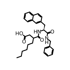 CCCCCCC(CC(=O)O)C(=O)N[C@@H](Cc1ccc2ccccc2c1)C(=O)NCc1ccccc1